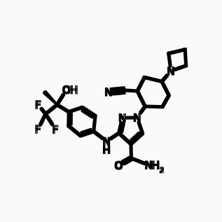 C[C@@](O)(c1ccc(Nc2nn(C3CCC(N4CCC4)CC3C#N)cc2C(N)=O)cc1)C(F)(F)F